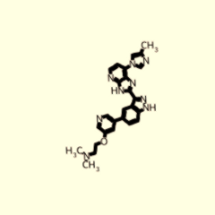 Cc1cn(-c2ccnc3[nH]c(-c4n[nH]c5ccc(-c6cncc(OCCN(C)C)c6)cc45)nc23)cn1